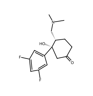 CN(C)C[C@@H]1CCC(=O)C[C@@]1(O)c1cc(F)cc(F)c1